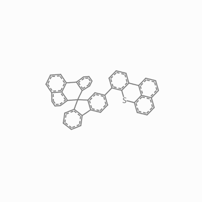 c1ccc2c(c1)-c1ccc(-c3cccc4c3Sc3cccc5cccc-4c35)cc1C21c2ccccc2-c2cccc3cccc1c23